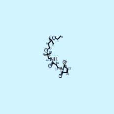 CCOC(C)(C)CCOC(C)(C)CNC(=O)CCN1C(=O)C=CC1=O